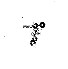 COc1ncc(-c2ccccc2)c2sc(NC(=O)N3CC[C@@]4(CCCOC4)C3)nc12